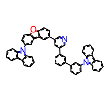 c1cc(-c2cncc(-c3ccc4oc5ccc(-n6c7ccccc7c7ccccc76)cc5c4c3)c2)cc(-c2cccc(-n3c4ccccc4c4ccccc43)c2)c1